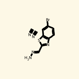 C#N.C#N.NN=Cc1nc2ccc(Br)cc2s1